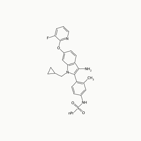 CCCS(=O)(=O)Nc1ccc(-c2c(N)c3ccc(Oc4ncccc4F)cc3n2CC2CC2)c(C)c1